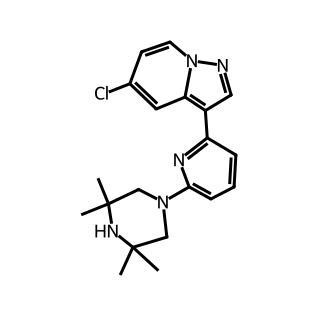 CC1(C)CN(c2cccc(-c3cnn4ccc(Cl)cc34)n2)CC(C)(C)N1